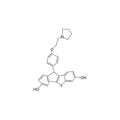 Oc1ccc2c(c1)-c1sc3cc(O)ccc3c1C2c1ccc(OCCN2CCCC2)cc1